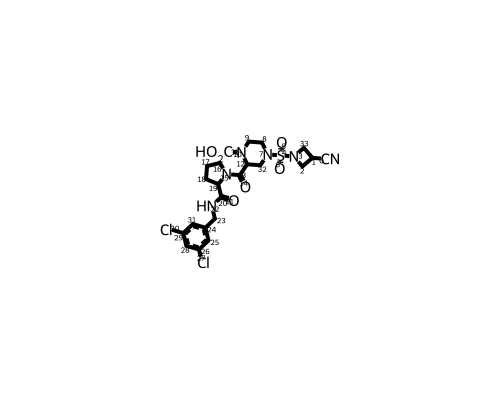 N#CC1CN(S(=O)(=O)N2CCN(C(=O)O)C(C(=O)N3CCCC3C(=O)NCc3cc(Cl)cc(Cl)c3)C2)C1